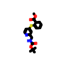 COC(=O)c1ccccc1Sc1ccnc(CNC(=O)OC(C)(C)C)c1